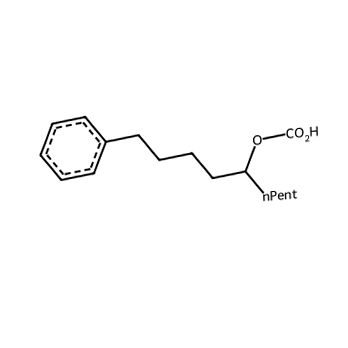 CCCCCC(CCCCc1ccccc1)OC(=O)O